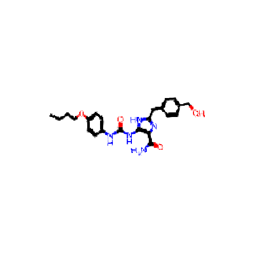 CCCCOc1ccc(NC(=O)Nc2[nH]c(Cc3ccc(CO)cc3)nc2C(N)=O)cc1